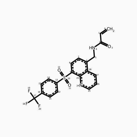 C=CC(=O)NCc1ccc(S(=O)(=O)c2ccc(C(F)(F)F)cc2)c2ncccc12